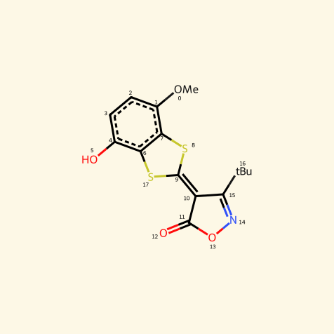 COc1ccc(O)c2c1S/C(=C1/C(=O)ON=C1C(C)(C)C)S2